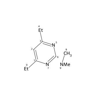 CCc1cc(CC)ncn1.CNC